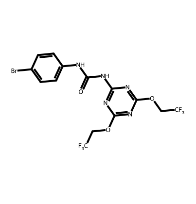 O=C(Nc1ccc(Br)cc1)Nc1nc(OCC(F)(F)F)nc(OCC(F)(F)F)n1